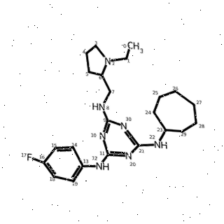 CCN1CCCC1CNc1nc(Nc2ccc(F)cc2)nc(NC2CCCCCC2)n1